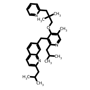 Cc1cnc(CC(C)C)c(Cc2ccc3ccc(CC(C)C)nc3c2)c1OCC(C)(C)Cc1ccccn1